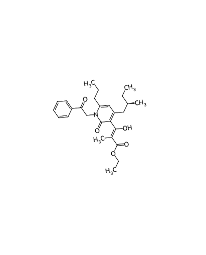 CCCc1cc(C[C@H](C)CC)c(/C(O)=C(\C)C(=O)OCC)c(=O)n1CC(=O)c1ccccc1